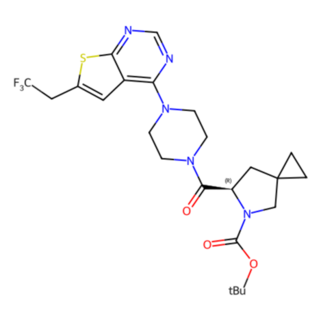 CC(C)(C)OC(=O)N1CC2(CC2)C[C@@H]1C(=O)N1CCN(c2ncnc3sc(CC(F)(F)F)cc23)CC1